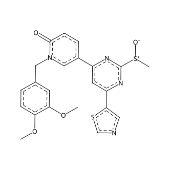 COc1ccc(Cn2cc(-c3cc(-c4cncs4)nc([S+](C)[O-])n3)ccc2=O)cc1OC